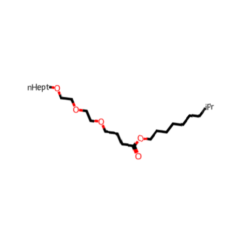 CCCCCCCOCCOCCOCCCC(=O)OCCCCCCCC(C)C